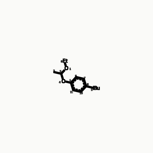 CCOC(C)Oc1ccc(C(C)CC)cc1